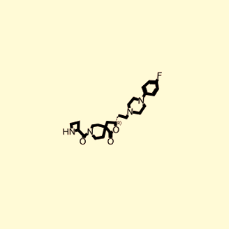 O=C(C1CCN1)N1CCC2(CC1)C[C@H](CCN1CCN(c3ccc(F)cc3)CC1)OC2=O